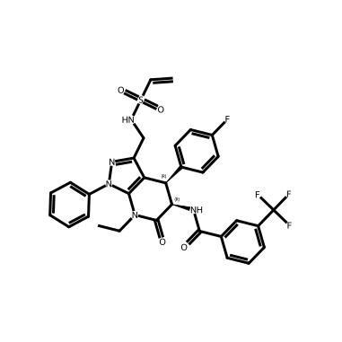 C=CS(=O)(=O)NCc1nn(-c2ccccc2)c2c1[C@@H](c1ccc(F)cc1)[C@@H](NC(=O)c1cccc(C(F)(F)F)c1)C(=O)N2CC